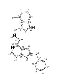 Cc1cccc2[nH]cc(/C=N\Nc3ncnc4sc(Cc5ccccc5)cc34)c12